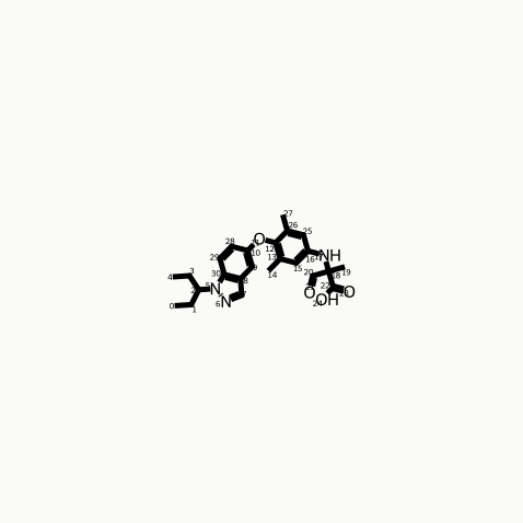 CCC(CC)n1ncc2cc(Oc3c(C)cc(NC(C)(C=O)C(=O)O)cc3C)ccc21